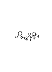 C[C@H]1[C@H](NC(=O)c2ncc(Oc3ccccc3Cl)s2)C2CCN1CC2